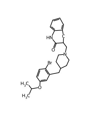 CC(C)Oc1ccc(Br)c(CC2CCN(CC3Cc4ccccc4NC3=O)CC2)c1